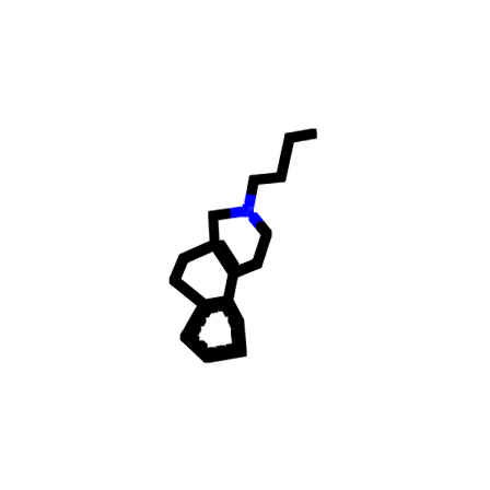 CCCCN1CCC2=C(CCc3ccccc32)C1